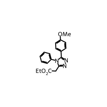 CCOC(=O)Cc1nnc(-c2ccc(OC)cc2)n1-c1ccccc1